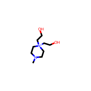 CN1CC[N+](CCO)(CCO)CC1